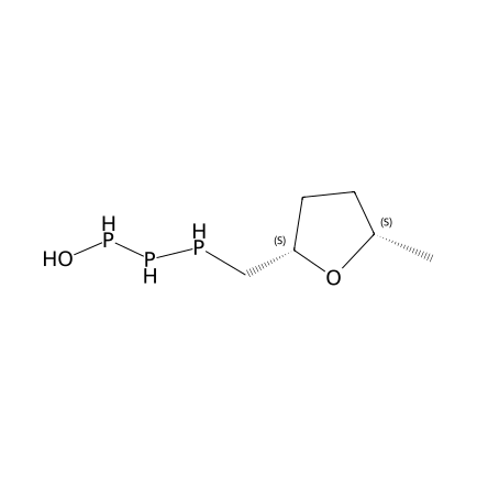 C[C@H]1CC[C@@H](CPPPO)O1